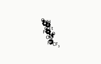 CCc1cc(N2C(=O)CN(c3cncc(C(F)(F)F)c3)C2=O)cc(F)c1Oc1ccnc2c1CCC(=O)N2